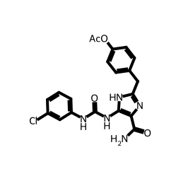 CC(=O)Oc1ccc(Cc2nc(C(N)=O)c(NC(=O)Nc3cccc(Cl)c3)[nH]2)cc1